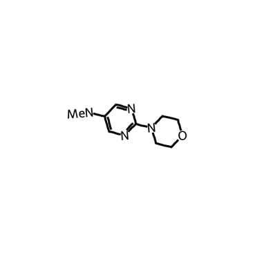 CNc1cnc(N2CCOCC2)nc1